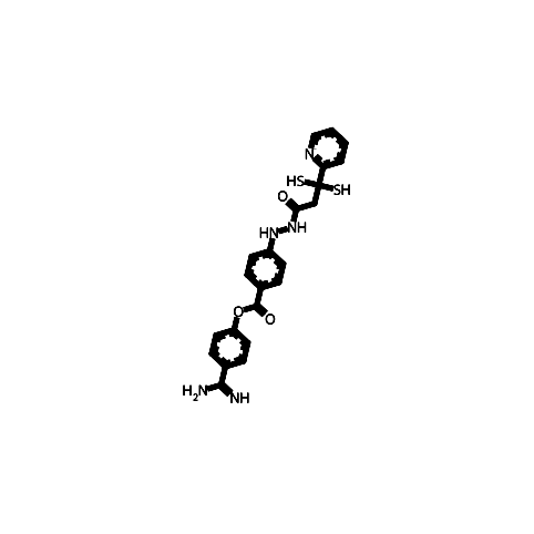 N=C(N)c1ccc(OC(=O)c2ccc(NNC(=O)CC(S)(S)c3ccccn3)cc2)cc1